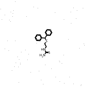 NC(=S)NCCSC(c1ccccc1)c1ccccc1